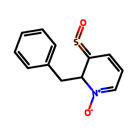 O=S=C1C=CC=[N+]([O-])C1Cc1ccccc1